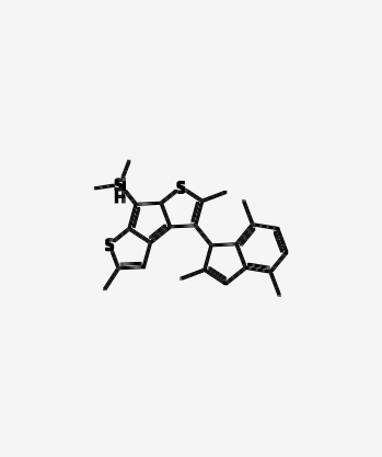 CC1=Cc2c(C)ccc(C)c2C1C1=C(C)SC2C1=c1cc(C)sc1=C2[SiH](C)C